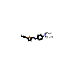 CC#Cc1ccc(/C=C/c2ccc(N(CCCCCC)CCCCCC)cc2)s1